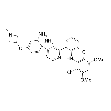 COc1cc(OC)c(Cl)c(Nc2ncccc2-c2cc(C3(N)C=CC(OC4CN(C)C4)=CC3N)ncn2)c1Cl